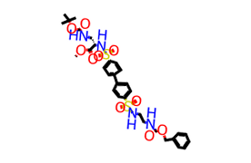 COC(=O)[C@H](CNC(=O)OC(C)(C)C)NS(=O)(=O)c1ccc(-c2ccc(S(=O)(=O)NCCNC(=O)OCc3ccccc3)cc2)cc1